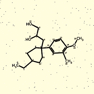 CCC1CCC(CC(O)CO)(c2ccc(OC)c(C)c2)CC1